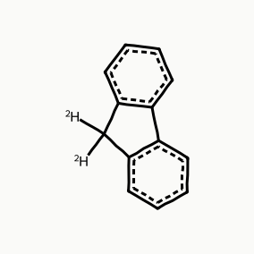 [2H]C1([2H])c2ccccc2-c2ccccc21